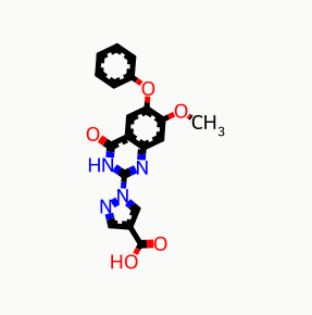 COc1cc2nc(-n3cc(C(=O)O)cn3)[nH]c(=O)c2cc1Oc1ccccc1